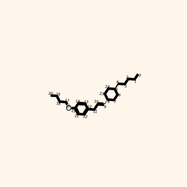 CCCCC[C@H]1CC[C@H](/C=C/[CH]c2ccc(OCCCC)cc2)CC1